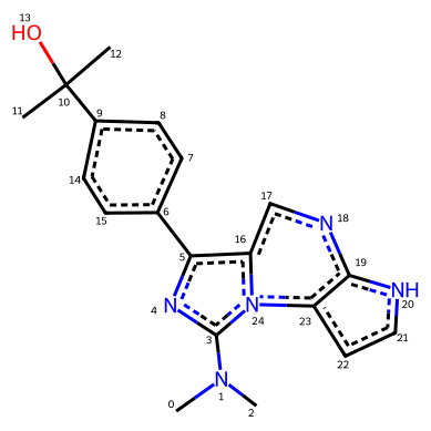 CN(C)c1nc(-c2ccc(C(C)(C)O)cc2)c2cnc3[nH]ccc3n12